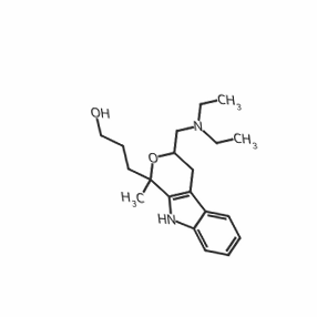 CCN(CC)CC1Cc2c([nH]c3ccccc23)C(C)(CCCO)O1